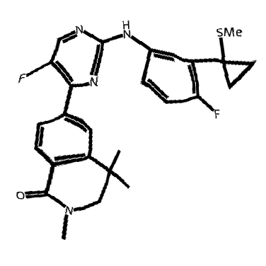 CSC1(c2cc(Nc3ncc(F)c(-c4ccc5c(c4)C(C)(C)CN(C)C5=O)n3)ccc2F)CC1